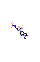 CCN1C(=O)Cc2cc(N3CC(CNC(=O)OC)OC3=O)cc(F)c21